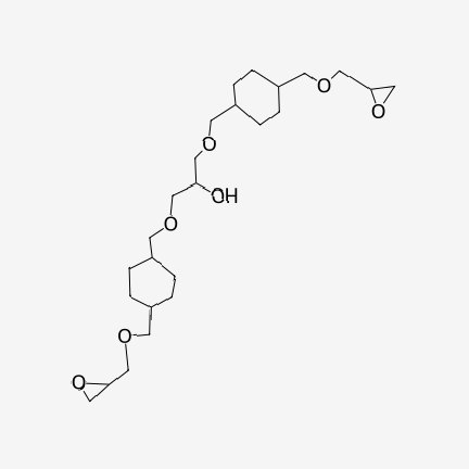 OC(COCC1CCC(COCC2CO2)CC1)COCC1CCC(COCC2CO2)CC1